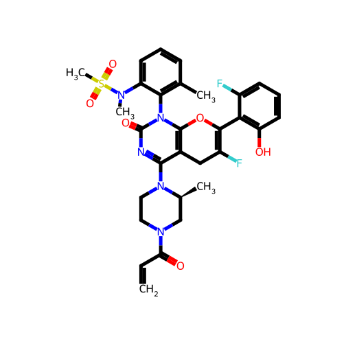 C=CC(=O)N1CCN(c2nc(=O)n(-c3c(C)cccc3N(C)S(C)(=O)=O)c3c2CC(F)=C(c2c(O)cccc2F)O3)[C@@H](C)C1